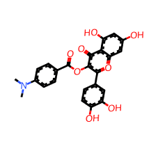 CN(C)c1ccc(C(=O)Oc2c(-c3ccc(O)c(O)c3)oc3cc(O)cc(O)c3c2=O)cc1